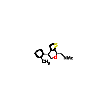 CNC[C@@H]1OC[C@H](c2ccccc2C)c2ccsc21